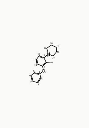 Cc1c(Oc2ccccc2)cccc1N1CCCCC1